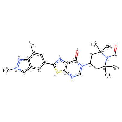 Cc1cc(-c2nc3c(=O)n(C4CC(C)(C)N(C=O)C(C)(C)C4)cnc3s2)cc2cn(C)nc12